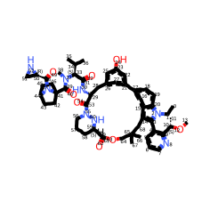 CCn1c(-c2cccnc2[C@H](C)OC)c2c3cc(ccc31)-c1cc(O)cc(c1)C[C@H](NC(=O)[C@H](C(C)C)N(C)C(=O)C13CCC(CC1)N3C(=O)[C@H]1CN1)C(=O)N1CCC[C@H](N1)C(=O)OCC(C)(C)C2